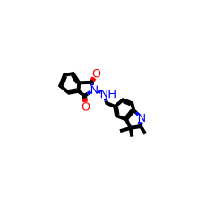 CC1=Nc2ccc(CNN3C(=O)c4ccccc4C3=O)cc2C1(C)C